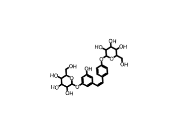 OCC1OC(Oc2ccc(/C=C\c3cc(O)cc(OC4OC(CO)C(O)C(O)C4O)c3)cc2)C(O)C(O)C1O